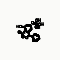 O=C(c1ccccc1)c1cccc(O)c1[N+](=O)[O-].O=[As](O)(O)O